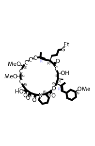 CCSCCC[C@@H]1/C=C(\C)CCC[C@H](OC)C[C@@H](OC)C[C@@H](C)C(O)(O)C(=O)C(=O)N2CCCC[C@H]2C(=O)O[C@H](/C(C)=C/C2CCC[C@H](OC)C2)[C@H](C)[C@@H](O)CC1=O